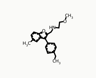 CCc1ccc(-c2c(CNCCOC)oc3ccc(C)cc23)cc1